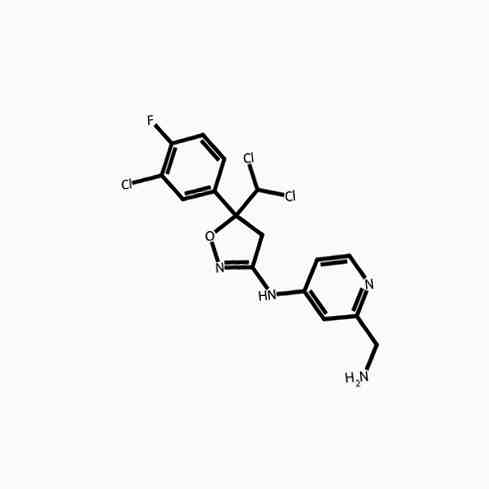 NCc1cc(NC2=NOC(c3ccc(F)c(Cl)c3)(C(Cl)Cl)C2)ccn1